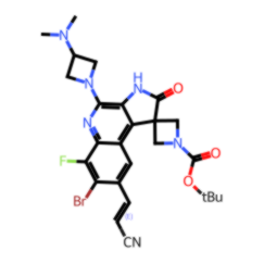 CN(C)C1CN(c2nc3c(F)c(Br)c(/C=C/C#N)cc3c3c2NC(=O)C32CN(C(=O)OC(C)(C)C)C2)C1